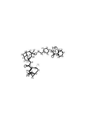 C=C[C@]12C[C@@H](C)C(C(=O)CC34CC5CC(CC(C)(OCCN6CC[C@H](NC(=O)c7ccccc7O)C6)C3)C5C4)=C[C@H]1C2